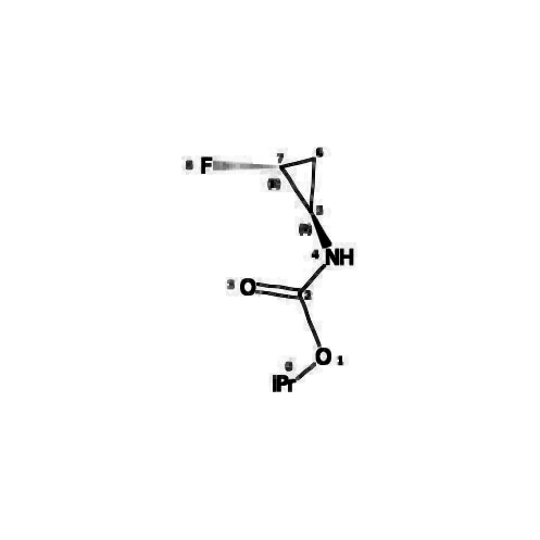 CC(C)OC(=O)N[C@@H]1C[C@H]1F